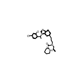 C=CCN(CCCc1ccc2ncn(C(C)c3ccc(Cl)cc3Cl)c2c1)C(=O)[C@H]1CCCCN1